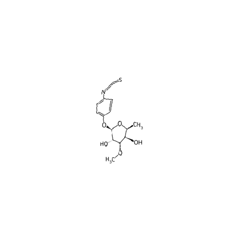 CO[C@H]1[C@H](O)[C@@H](Oc2ccc(N=C=S)cc2)O[C@@H](C)[C@H]1O